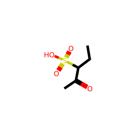 CCC(C(C)=O)S(=O)(=O)O